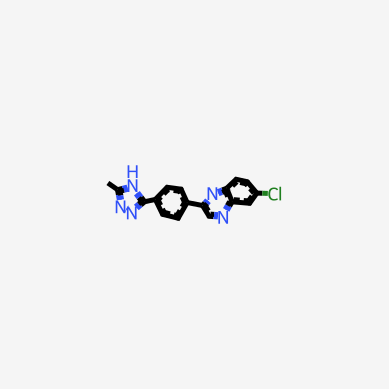 Cc1nnc(-c2ccc(-c3cnc4cc(Cl)ccc4n3)cc2)[nH]1